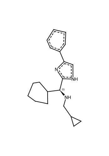 c1ccc(-c2c[nH]c([C@@H](NCC3CC3)C3CCCCC3)n2)cc1